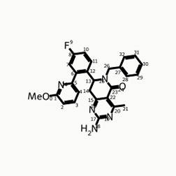 COc1cccc(-c2cc(F)ccc2C2Cc3nc(N)nc(C)c3C(=O)N2Cc2ccccc2)n1